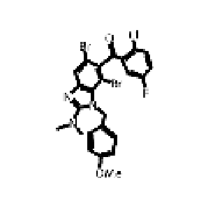 COc1ccc(Cn2c(N(C)C)nc3cc(Br)c(C(=O)c4cc(F)ccc4Cl)c(Br)c32)cc1